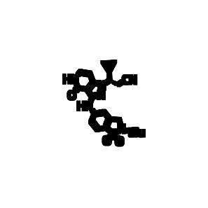 CC(C)(C)N1Cc2cc(Nc3nn([C@@H](CC#N)C4CC4)c4cc[nH]c(=O)c34)ccc2S1(=O)=O